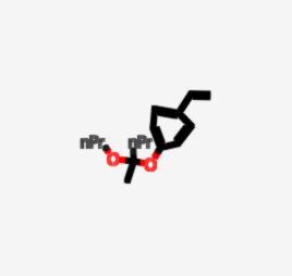 C=Cc1ccc(OC(C)(CCC)OCCC)cc1